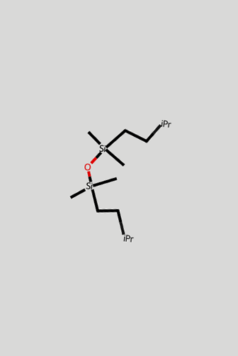 CC(C)CC[Si](C)(C)O[Si](C)(C)CCC(C)C